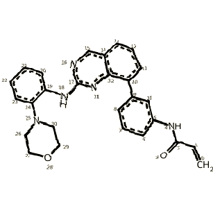 C=CC(=O)Nc1cccc(-c2cccc3cnc(Nc4ccccc4N4CCOCC4)nc23)c1